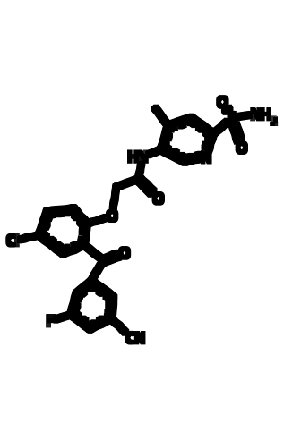 Cc1cc(S(N)(=O)=O)ncc1NC(=O)COc1ccc(Cl)cc1C(=O)c1cc(F)cc(C#N)c1